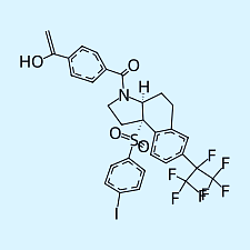 C=C(O)c1ccc(C(=O)N2CC[C@]3(S(=O)(=O)c4ccc(I)cc4)c4ccc(C(F)(C(F)(F)F)C(F)(F)F)cc4CC[C@H]23)cc1